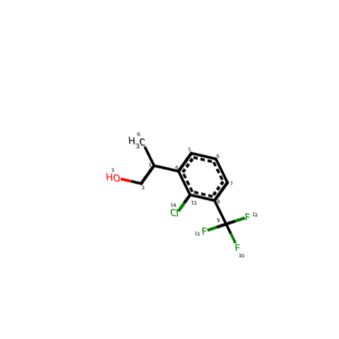 CC(CO)c1cccc(C(F)(F)F)c1Cl